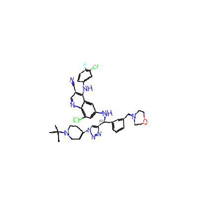 CC(C)(C)N1CCC(n2cc([C@@H](Nc3cc(Cl)c4ncc(C#N)c(Nc5ccc(F)c(Cl)c5)c4c3)c3cccc(CN4CCOCC4)c3)nn2)CC1